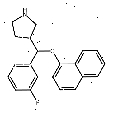 Fc1cccc(C(Oc2cccc3ccccc23)C2CCNC2)c1